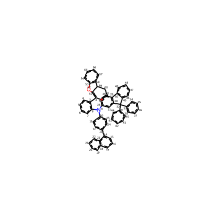 C1=CC(c2ccccc2N(c2ccc(-c3cccc4ccccc34)cc2)c2ccc3c(c2)C(c2ccccc2)(c2ccccc2)c2ccccc2-3)=C2Oc3ccccc3C2C1